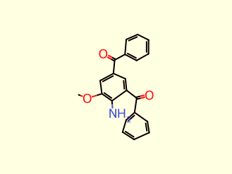 COc1cc(C(=O)c2ccccc2)cc(C(=O)c2ccccc2)c1N